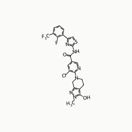 Cn1nc2c(c1O)CCN(c1ncc(C(=O)Nc3nc(-c4cccc(C(F)(F)F)c4F)cs3)cc1Cl)C2